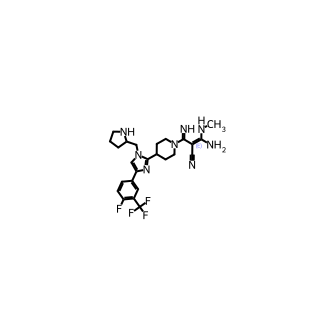 CN/C(N)=C(/C#N)C(=N)N1CCC(c2nc(-c3ccc(F)c(C(F)(F)F)c3)cn2CC2CCCN2)CC1